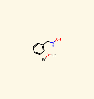 CCOCC.ONCc1ccccc1